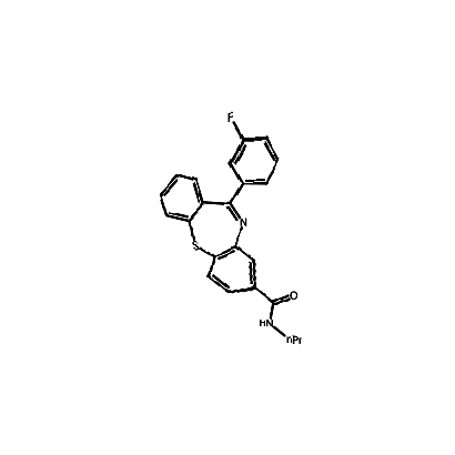 CCCNC(=O)c1ccc2c(c1)N=C(c1cccc(F)c1)c1ccccc1S2